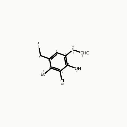 CCc1c(CI)cc(NC=O)c(O)c1Cl